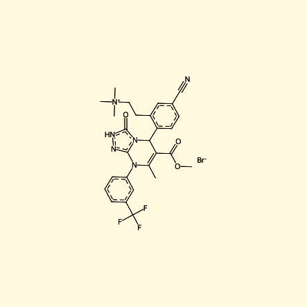 COC(=O)C1=C(C)N(c2cccc(C(F)(F)F)c2)c2n[nH]c(=O)n2C1c1ccc(C#N)cc1CC[N+](C)(C)C.[Br-]